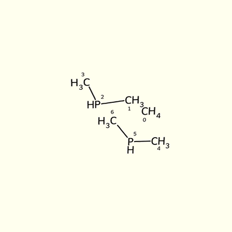 C.CPC.CPC